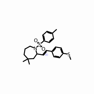 CSc1ccc(/C=C/C2CC(C)(C)CCCN2S(=O)(=O)c2ccc(C)cc2)cc1